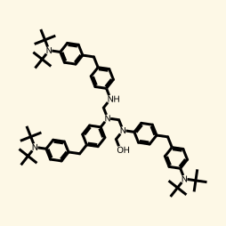 CC(C)(C)N(c1ccc(Cc2ccc(NCN(CN(CO)c3ccc(Cc4ccc(N(C(C)(C)C)C(C)(C)C)cc4)cc3)c3ccc(Cc4ccc(N(C(C)(C)C)C(C)(C)C)cc4)cc3)cc2)cc1)C(C)(C)C